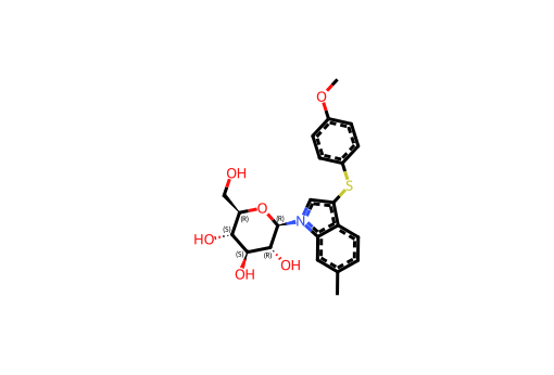 COc1ccc(Sc2cn([C@@H]3O[C@H](CO)[C@@H](O)[C@H](O)[C@H]3O)c3cc(C)ccc23)cc1